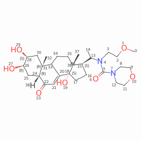 COCCN(C(=O)N1CCOCC1)C(C)[C@H]1CC[C@@]2(O)C3=CC(=O)[C@@H]4C[C@@H](O)[C@@H](O)C[C@]4(C)C3CC[C@]12C